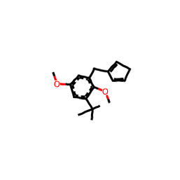 COc1cc(CC2=CCC=C2)c(OC)c(C(C)(C)C)c1